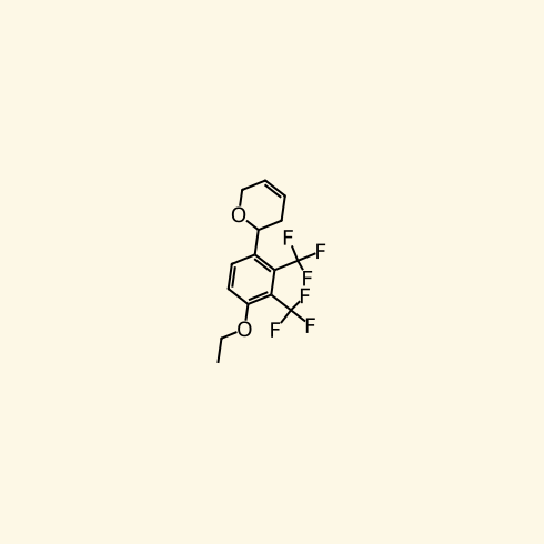 CCOc1ccc(C2CC=CCO2)c(C(F)(F)F)c1C(F)(F)F